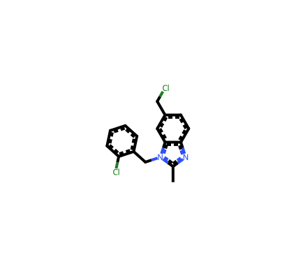 Cc1nc2ccc(CCl)cc2n1Cc1ccccc1Cl